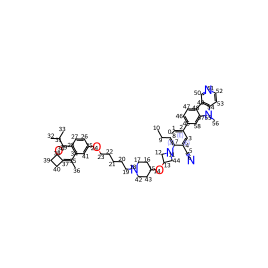 C\C=C(/C=C(C#N)\C(=C\CC)N1CC(OC2CCN(CCCCCOc3ccc(C(=O)C(C)C)c(C(C)=C4CCC4)c3)CC2)C1)c1ccc2c3cnccc3n(C)c2c1